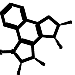 CCN1c2c(c3c(c4ccccc24)C[C@H](C)[C@@H]3C)[C@H](C)[C@@H]1C